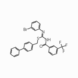 O=C(NC(=Nc1cccc(Br)c1)SCc1ccc(-c2ccccc2)cc1)c1cccc(C(F)(F)F)c1